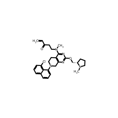 C=CC(=O)CCN(C)c1nc(OC[C@@H]2CCCN2C)nc2c1CCN(c1cccc3cccc(Cl)c13)C2